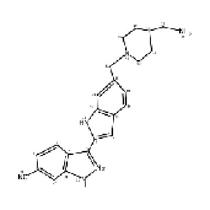 N#Cc1ccc2c(-c3cc4ccc(CN5CCC(CN)CC5)cc4[nH]3)n[nH]c2c1